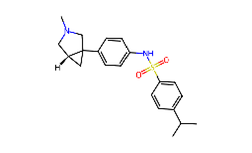 CC(C)c1ccc(S(=O)(=O)Nc2ccc(C34C[C@@H]3CN(C)C4)cc2)cc1